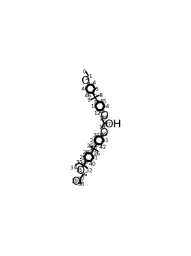 CCOc1ccc(C(C)(C)c2ccc(OCC(O)COc3ccc(C(C)(C)c4ccc(C(C)(CC)OCC5CO5)cc4)cc3)cc2)cc1